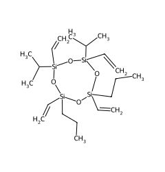 C=C[Si]1(CCC)O[Si](C=C)(CCC)O[Si](C=C)(C(C)C)O[Si](C=C)(C(C)C)O1